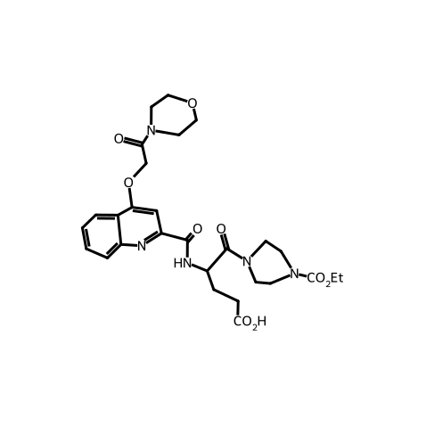 CCOC(=O)N1CCN(C(=O)C(CCC(=O)O)NC(=O)c2cc(OCC(=O)N3CCOCC3)c3ccccc3n2)CC1